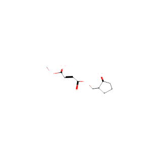 COC(=O)/C=C/C(=O)OCC1CCCC1=O